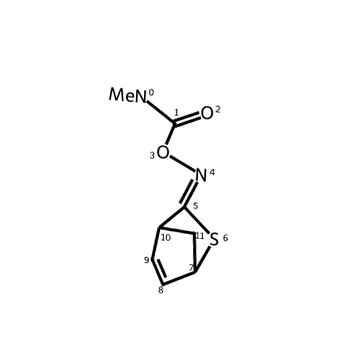 CNC(=O)O/N=C1/SC2C=CC1C2